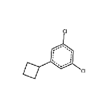 Clc1[c]c(Cl)cc(C2CCC2)c1